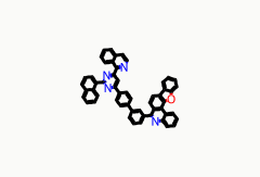 c1cc(-c2ccc(-c3cc(-c4nccc5ccccc45)nc(-c4cccc5ccccc45)n3)cc2)cc(-c2nc3ccccc3c3c2ccc2c4ccccc4oc23)c1